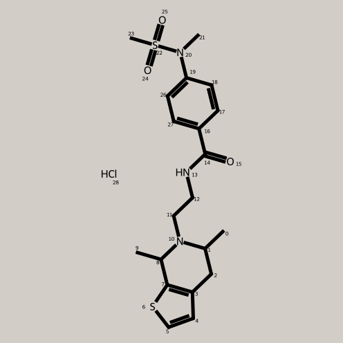 CC1Cc2ccsc2C(C)N1CCNC(=O)c1ccc(N(C)S(C)(=O)=O)cc1.Cl